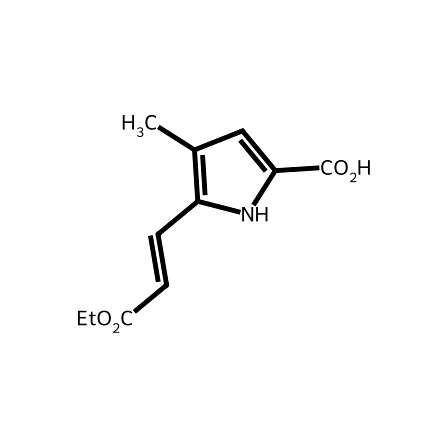 CCOC(=O)/C=C/c1[nH]c(C(=O)O)cc1C